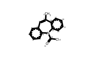 CC1=Cc2ccccc2N(C(=O)Cl)c2ccccc21